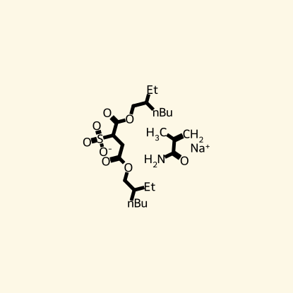 C=C(C)C(N)=O.CCCCC(CC)COC(=O)CC(C(=O)OCC(CC)CCCC)S(=O)(=O)[O-].[Na+]